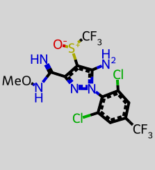 CONC(=N)c1nn(-c2c(Cl)cc(C(F)(F)F)cc2Cl)c(N)c1[S+]([O-])C(F)(F)F